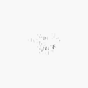 Cc1cc(Cl)cc(C(=O)NC(C)C)c1NC(=O)c1cc(CNS(=O)(=O)Cc2cccc(C(F)(F)F)c2)nn1-c1ncccc1Cl